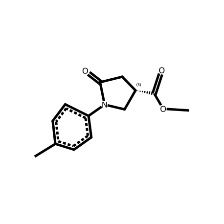 COC(=O)[C@H]1CC(=O)N(c2ccc(C)cc2)C1